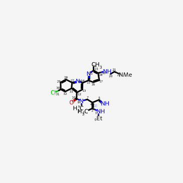 CCN/C(C)=C(\C=N)CN(C)C(=O)c1cc(-c2ccc(NCCNC)c(C)n2)nc2ccc(Cl)cc12